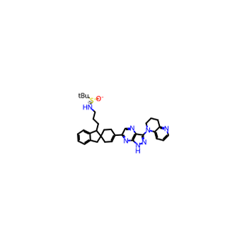 CC(C)(C)[S@@+]([O-])NCCCC1c2ccccc2CC12CC=C(c1cnc3c(N4CCCc5ncccc54)n[nH]c3n1)CC2